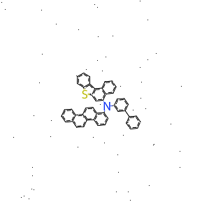 c1ccc(-c2cccc(N(c3cccc4c3ccc3c5ccccc5ccc43)c3cc4sc5ccccc5c4c4ccccc34)c2)cc1